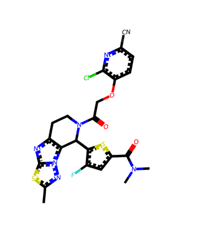 Cc1nn2c3c(nc2s1)CCN(C(=O)COc1ccc(C#N)nc1Cl)C3c1sc(C(=O)N(C)C)cc1F